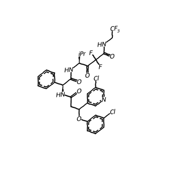 CC(C)[C@H](NC(=O)[C@@H](NC(=O)CC(Oc1cccc(Cl)c1)c1cncc(Cl)c1)c1ccccc1)C(=O)C(F)(F)C(=O)NCC(F)(F)F